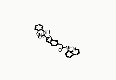 Nc1ccccc1NC(=O)c1cc2ccc(CC(=O)Nc3cccc4cccnc34)cc2s1